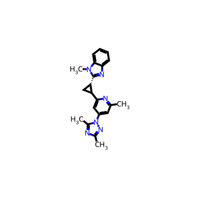 Cc1cc(-n2nc(C)nc2C)cc(C2C[C@@H]2c2nc3ccccc3n2C)n1